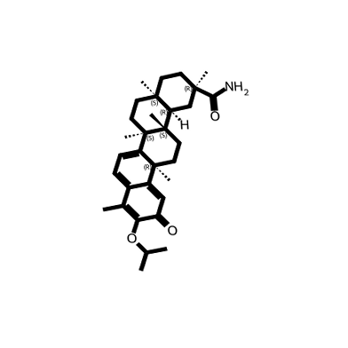 CC1=C(OC(C)C)C(=O)C=C2C1=CC=C1[C@@]2(C)CC[C@@]2(C)[C@@H]3C[C@](C)(C(N)=O)CC[C@]3(C)CC[C@]12C